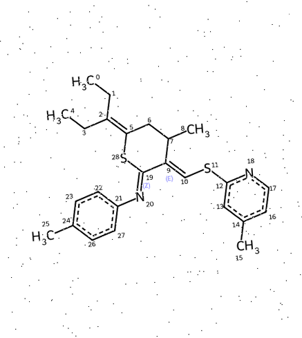 CCC(CC)=C1CC(C)C(=C\Sc2cc(C)ccn2)/C(=N/c2ccc(C)cc2)S1